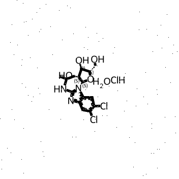 CC(C)Nc1nc2cc(Cl)c(Cl)cc2n1[C@H]1O[C@@H](CO)[C@H](O)[C@@H]1O.Cl.O